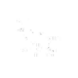 CC(C)(C)[Si](C)(C)OC1C(O[Si](C)(C)C(C)(C)C)[C@@H](C=O)O[C@H]1n1ccc(=O)[nH]c1=O